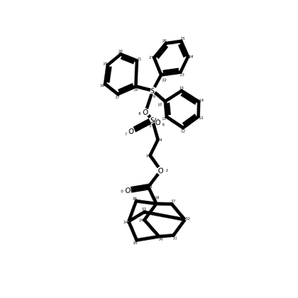 O=C(OCCS(=O)(=O)OS(c1ccccc1)(c1ccccc1)c1ccccc1)C12CC3CC(CC(C3)C1)C2